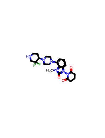 Cn1c(=O)n(N2C(=O)CCCC2=O)c2cccc(N3CCN(C4CCNCC4(F)F)CC3)c21